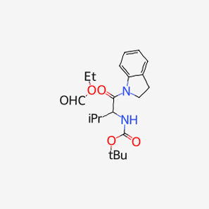 CC(C)C(NC(=O)OC(C)(C)C)C(=O)N1CCc2ccccc21.CCOC=O